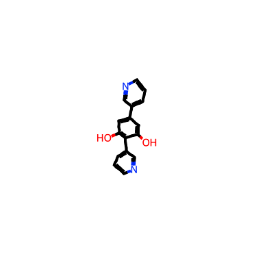 Oc1cc(-c2cccnc2)cc(O)c1-c1cccnc1